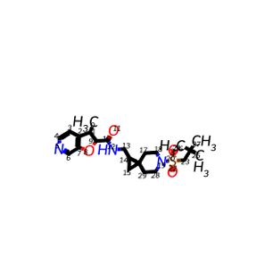 CC1c2ccncc2OC1C(=O)NCC1CC12CCN(S(=O)(=O)CC(C)(C)C)CC2